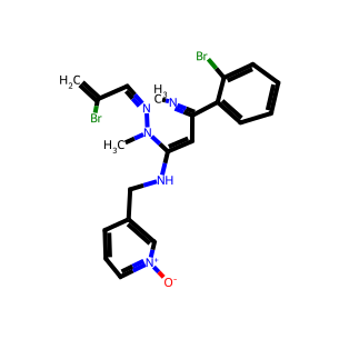 C=C(Br)/C=N\N(C)/C(=C\C(=N/C)c1ccccc1Br)NCc1ccc[n+]([O-])c1